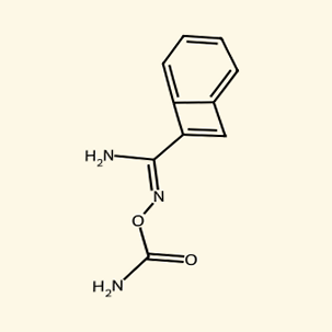 NC(=O)ON=C(N)C1=Cc2ccccc21